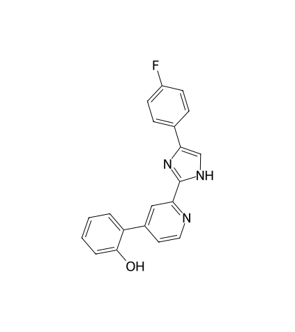 Oc1ccccc1-c1ccnc(-c2nc(-c3ccc(F)cc3)c[nH]2)c1